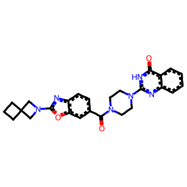 O=C(c1ccc2nc(N3CC4(CCC4)C3)oc2c1)N1CCN(c2nc3ccccc3c(=O)[nH]2)CC1